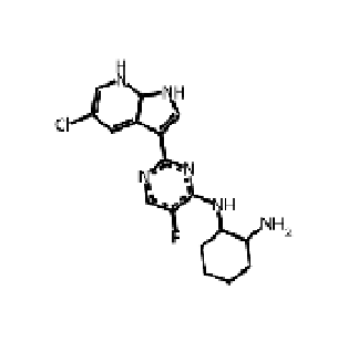 NC1CCCCC1Nc1nc(C2=CNC3NC=C(Cl)C=C23)ncc1F